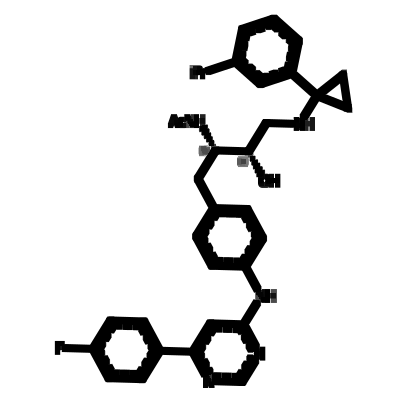 CC(=O)N[C@@H](Cc1ccc(Nc2cc(-c3ccc(F)cc3)ncn2)cc1)[C@@H](O)CNC1(c2cccc(C(C)C)c2)CC1